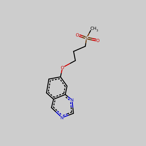 CS(=O)(=O)CCCOc1ccc2cncnc2c1